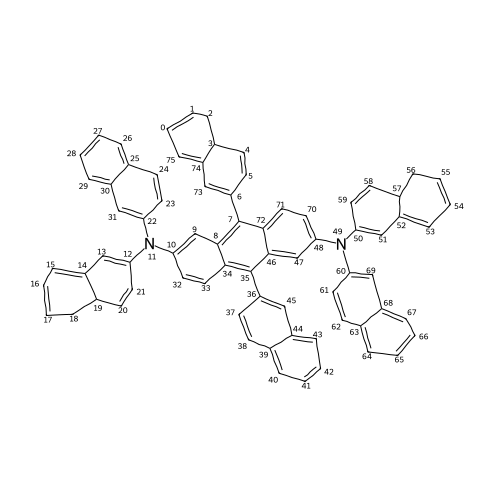 C1=CCC2C=CC(c3c4cc(N(C5=CC6=CC=CCC6C=C5)c5ccc6ccccc6c5)ccc4c(-c4ccc5ccccc5c4)c4cc(N(C5=CC6=CC=CCC6C=C5)c5ccc6ccccc6c5)ccc34)=CC2=C1